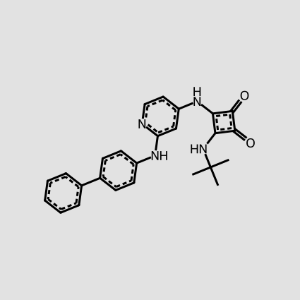 CC(C)(C)Nc1c(Nc2ccnc(Nc3ccc(-c4ccccc4)cc3)c2)c(=O)c1=O